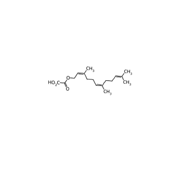 CC(C)=CCCC(C)=CCCC(C)=CCOC(=O)C(=O)O